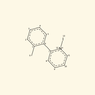 Cc1ccccc1-c1cccc[n+]1I